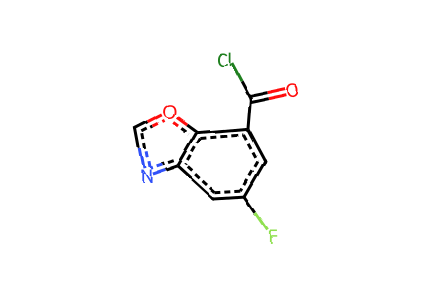 O=C(Cl)c1cc(F)cc2ncoc12